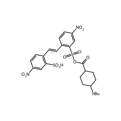 CCCCC1CCC(C(=O)OS(=O)(=O)c2cc([N+](=O)[O-])ccc2/C=C/c2ccc([N+](=O)[O-])cc2S(=O)(=O)O)CC1